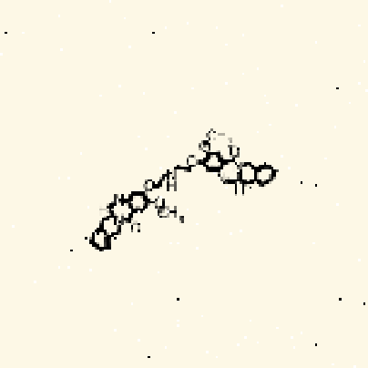 COc1cc2c(cc1OCCNCCOc1cc3c(cc1OC)C(=O)N1Cc4ccccc4C[C@H]1C=N3)N=C[C@@H]1Cc3ccccc3CN1C2=O